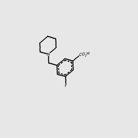 O=C(O)c1cc(F)cc(CN2CC[CH]CC2)c1